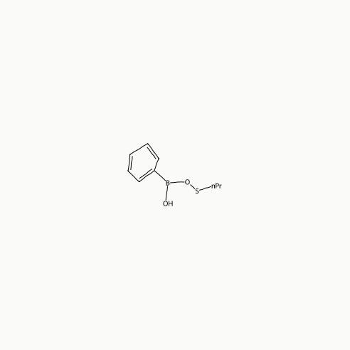 CCCSOB(O)c1ccccc1